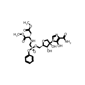 COC(=O)C[C@H](NCP(=O)(OC[C@H]1OC[C@](O)(n2cnc(C(N)=O)c2O)[C@@H]1O)Oc1ccccc1)C(=O)OC